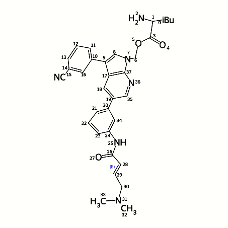 CCC(C)C(N)C(=O)OCn1cc(-c2cccc(C#N)c2)c2cc(-c3cccc(NC(=O)/C=C/CN(C)C)c3)cnc21